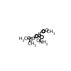 CCOP(COc1ccc2c(c1)c1c(n2Cc2ccc(OC)cc2)CCCC1C(N)=O)OCC